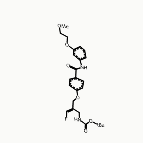 COCCOc1cccc(NC(=O)c2ccc(OCC(=CF)CNC(=O)OC(C)(C)C)cc2)c1